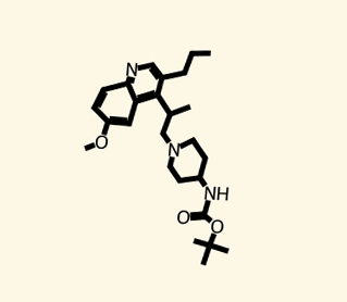 CCCc1cnc2ccc(OC)cc2c1C(C)CN1CCC(NC(=O)OC(C)(C)C)CC1